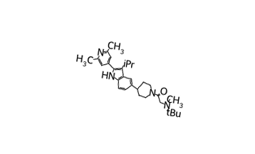 Cc1cc(-c2[nH]c3ccc(C4CCN(C(=O)CN(C)C(C)(C)C)CC4)cc3c2C(C)C)cc(C)n1